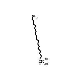 NCCCCCCCCCCCCCCCCOP(=O)(O)O